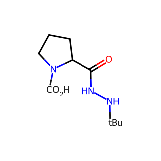 CC(C)(C)NNC(=O)C1CCCN1C(=O)O